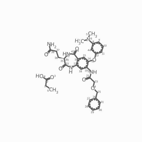 CCC(=O)O.CN(C)c1cccc(Oc2cc3c(cc2NC(=O)COCc2ccccc2)NC(=O)[C@@H](CCC(N)=O)NC3=O)c1